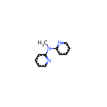 CN(c1cc[c]cn1)c1ccccn1